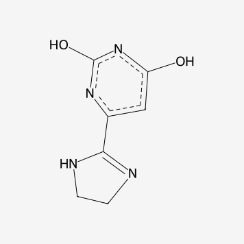 Oc1cc(C2=NCCN2)nc(O)n1